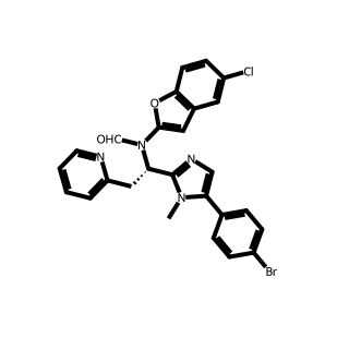 Cn1c(-c2ccc(Br)cc2)cnc1[C@H](Cc1ccccn1)N(C=O)c1cc2cc(Cl)ccc2o1